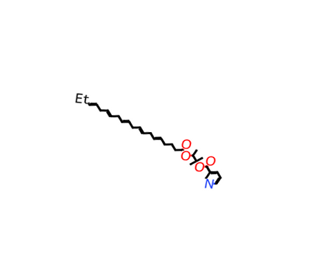 CCC=CCC=CCC=CCC=CCC=CCCCC(=O)OC(C)C(C)(C)OC(=O)c1cccnc1